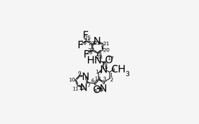 CC1Cc2noc(-c3ncccn3)c2CN1C(=O)Nc1ccnc(C(F)F)c1F